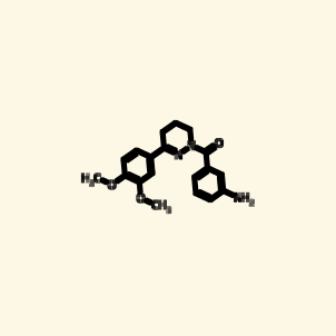 COc1ccc(C2=NN(C(=O)c3cccc(N)c3)CCC2)cc1OC